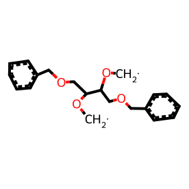 [CH2]OC(COCc1ccccc1)C(COCc1ccccc1)O[CH2]